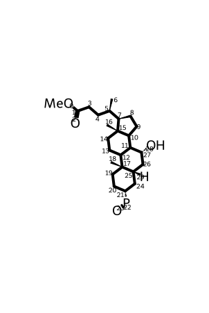 COC(=O)CC[C@@H](C)[C@H]1CCC2C3C(CC[C@@]21C)[C@@]1(C)CC[C@@H](P=O)C[C@H]1C[C@H]3O